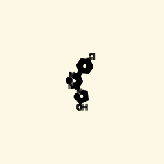 O[C@H]1CCN(c2cc(-c3ccc(Cl)cc3)ncn2)C1